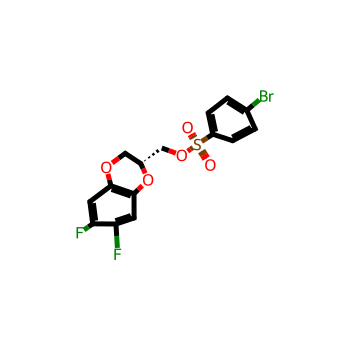 O=S(=O)(OC[C@H]1COc2cc(F)c(F)cc2O1)c1ccc(Br)cc1